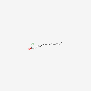 CCCCCCCCCCC([O])Cl